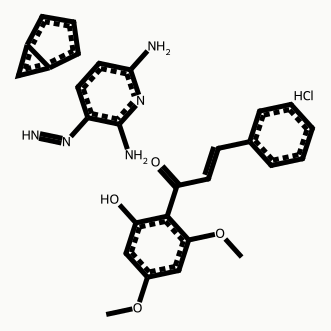 COc1cc(O)c(C(=O)C=Cc2ccccc2)c(OC)c1.Cl.N=Nc1ccc(N)nc1N.c1cc2cc-2c1